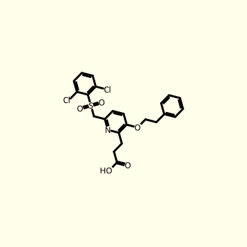 O=C(O)CCc1nc(CS(=O)(=O)c2c(Cl)cccc2Cl)ccc1OCCc1ccccc1